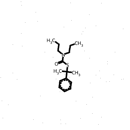 CCCN(CCC)C(=O)SC(C)(C)c1ccccc1